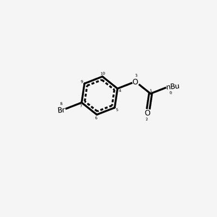 CCCCC(=O)Oc1ccc(Br)cc1